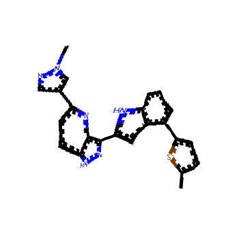 Cc1ccc(-c2cccc3[nH]c(-c4n[nH]c5ccc(-c6cnn(C)c6)nc45)cc23)s1